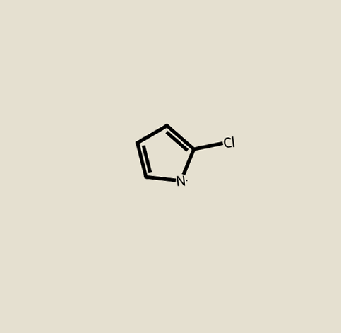 ClC1=CC=C[N]1